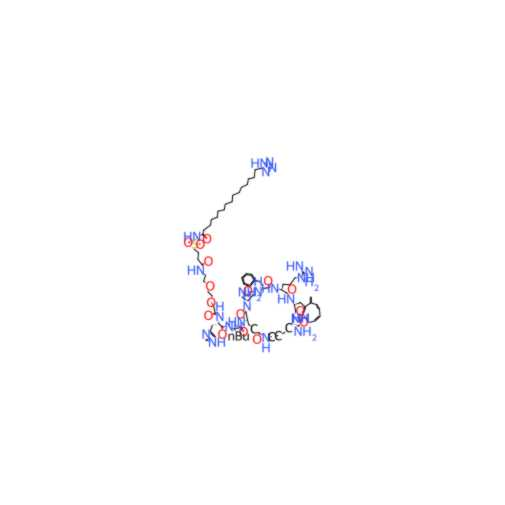 C=C1/C=C\C=C/CN/C=C\1C[C@@H]1NC(=O)[C@H](CCCNC(=N)N)NC(=O)[C@@H](Cc2ccccc2)NC(=O)[C@H](CN)NC(=O)[C@@H](NC(=O)[C@H](CCCC)NC(=O)[C@H](Cc2c[nH]cn2)NC(=O)COCCOCCNC(=O)CCCS(=O)(=O)NC(=O)CCCCCCCCCCCCCCCc2nnn[nH]2)CCC(=O)NCCCC[C@@H](C(N)=O)NC1=O